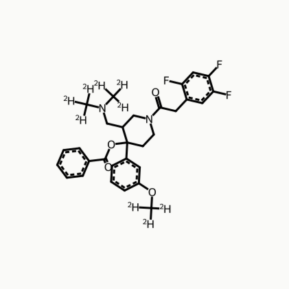 [2H]C([2H])([2H])Oc1cccc(C2(OC(=O)c3ccccc3)CCN(C(=O)Cc3cc(F)c(F)cc3F)CC2CN(C([2H])([2H])[2H])C([2H])([2H])[2H])c1